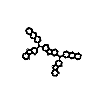 c1ccc2cc3cc(N(c4ccc5c(c4)oc4cc(N(c6ccc7cc8ccccc8cc7c6)c6cnc7c(c6)oc6cccnc67)cnc45)c4cnc5c(c4)oc4cccnc45)ccc3cc2c1